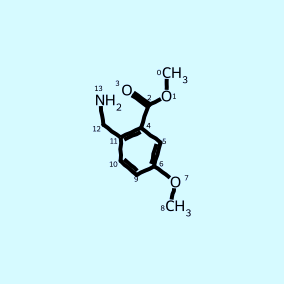 COC(=O)c1cc(OC)ccc1CN